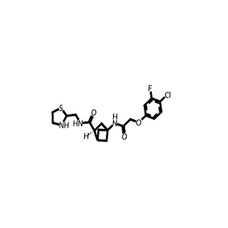 O=C(COc1ccc(Cl)c(F)c1)NC12CC(C1)[C@@H](C(=O)NCC1NCCS1)C2